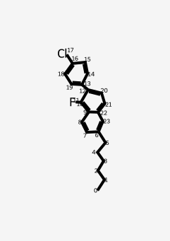 CCCCCCc1ccc2c(F)c(-c3ccc(Cl)cc3)ccc2c1